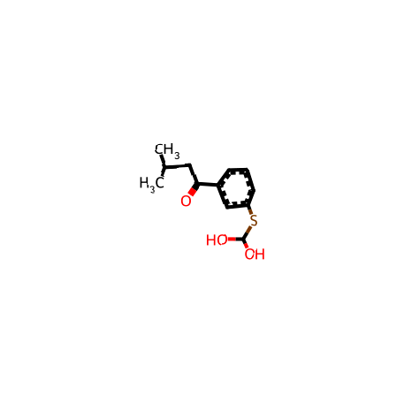 CC(C)CC(=O)c1cccc(SC(O)O)c1